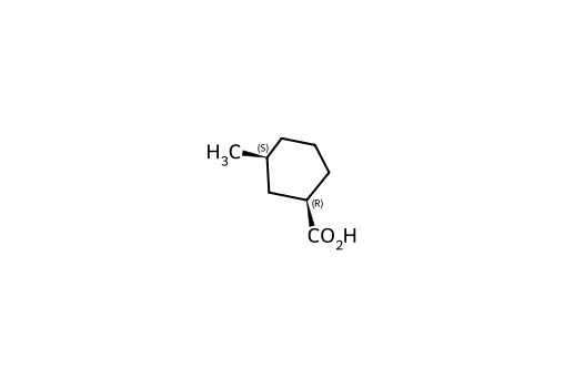 C[C@H]1CCC[C@@H](C(=O)O)C1